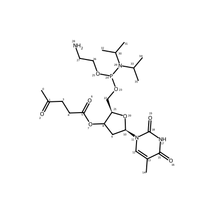 CC(=O)CCC(=O)OC1C[C@H](n2cc(C)c(=O)[nH]c2=O)O[C@@H]1COP(OCCN)N(C(C)C)C(C)C